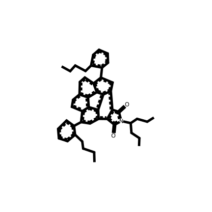 CCCCc1ccccc1-c1cc2c3c(=O)n(C(CCC)CCC)c(=O)c3c3cc(-c4ccccc4CCCC)c4ccc5ccc1c1c5c4c3c21